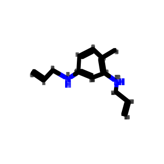 C=CCNc1ccc(C)c(NCC=C)c1